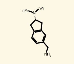 CCCN(CCC)[C@H]1Cc2ccc(CN)cc2C1